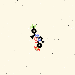 CC[C@@H]1CC[C@H](C(=O)NC(c2ccc(C(F)(F)F)cc2)C2CC2)N1C(=O)c1cccc(S(C)(=O)=O)c1